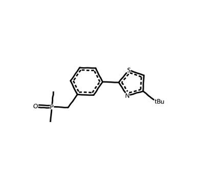 CC(C)(C)c1csc(-c2cccc(CP(C)(C)=O)c2)n1